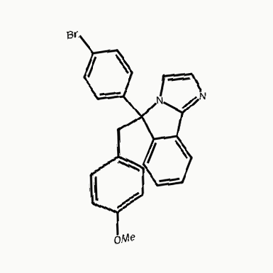 COc1ccc(CC2(c3ccc(Br)cc3)c3ccccc3-c3nccn32)cc1